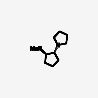 CN[C@@H]1CCC[C@H]1N1CCCC1